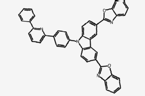 c1ccc(-c2cccc(-c3ccc(-n4c5ccc(-c6nc7ccccc7o6)cc5c5cc(-c6nc7ccccc7o6)ccc54)cc3)n2)cc1